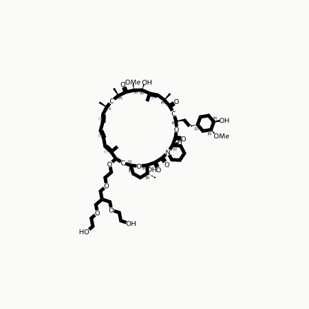 CO[C@@H]1C[C@H](CC[C@@H]2CC(=O)[C@H](C)/C=C(\C)[C@@H](O)[C@@H](OC)C(=O)[C@H](C)C[C@H](C)/C=C/C=C/C=C(\C)C(OCCOCC(COCCO)COCCO)C[C@@H]3CC[C@@H](C)[C@@](O)(O3)C(=O)C(=O)N3CCCC[C@H]3C(=O)O2)CC[C@H]1O